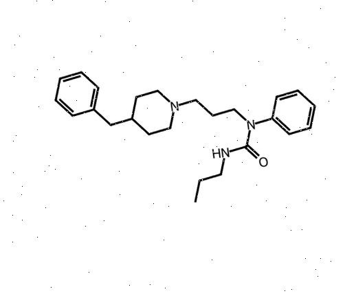 CCCNC(=O)N(CCCN1CCC(Cc2ccccc2)CC1)c1ccccc1